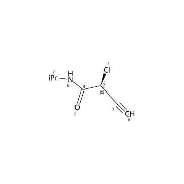 C#C[C@H](Cl)C(=O)NC(C)C